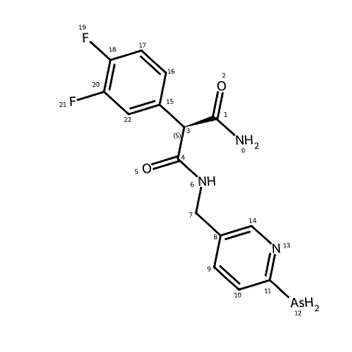 NC(=O)[C@@H](C(=O)NCc1ccc([AsH2])nc1)c1ccc(F)c(F)c1